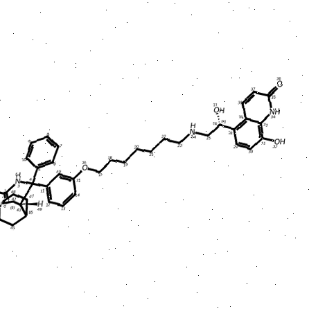 O=C(O)NC(c1ccccc1)(c1cccc(OCCCCCCCNC[C@H](O)c2ccc(O)c3[nH]c(=O)ccc23)c1)[C@H]1CN2CCC1CC2